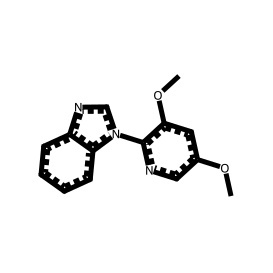 COc1cnc(-n2cnc3ccccc32)c(OC)c1